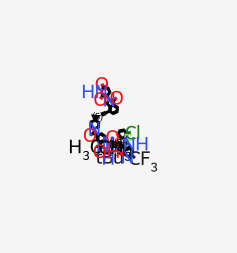 CC(C)(C)C[C@@H]1N[C@@H](C(=O)Nc2ccc(C(=O)N3CCC4(CC3)C[C@@H]4C#Cc3cccc4c3CN(C3CCC(=O)NC3=O)C4=O)cc2C(C)(C)O)[C@H](c2cccc(Cl)c2F)[C@]12CNc1cc(C(F)(F)F)ncc12